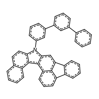 c1ccc(-c2cccc(-c3cccc(-n4c5ccc6ccccc6c5c5c6cccc7c6c(cc54)-c4ccccc4-7)c3)c2)cc1